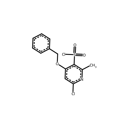 Cc1nc(Cl)cc(OCc2ccccc2)c1S(=O)(=O)Cl